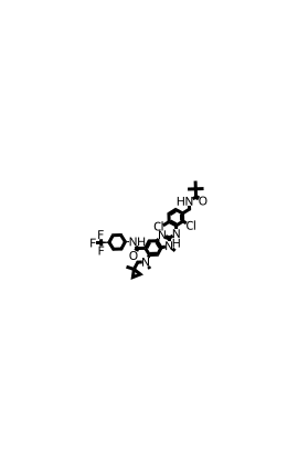 CN(CC1(C)CC1)c1cc2c(cc1C(=O)N[C@H]1CC[C@H](C(F)(F)F)CC1)nc(Nc1c(Cl)ccc(CNC(=O)C(C)(C)C)c1Cl)n2C